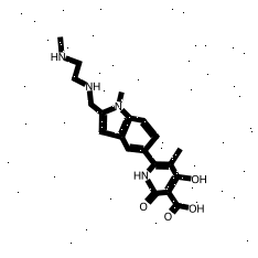 CNCCNCc1cc2cc(-c3[nH]c(=O)c(C(=O)O)c(O)c3C)ccc2n1C